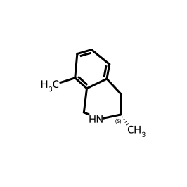 Cc1cccc2c1CN[C@@H](C)C2